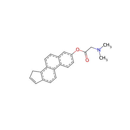 CN(C)CC(=O)Oc1ccc2c(ccc3c4c(ccc32)C=CC4)c1